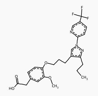 CCCc1nn(-c2ccc(C(F)(F)F)cn2)cc1CCCOc1ccc(CC(=O)O)cc1OC